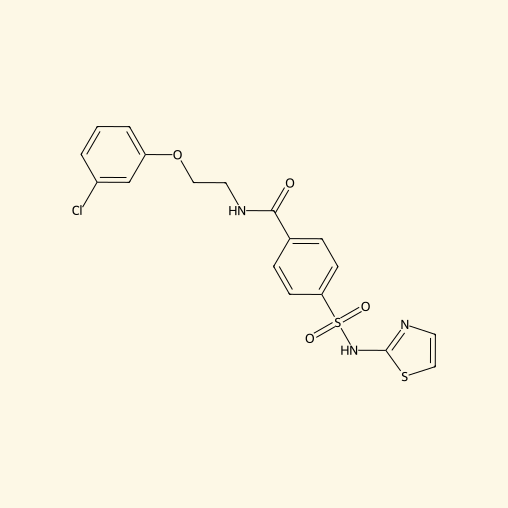 O=C(NCCOc1cccc(Cl)c1)c1ccc(S(=O)(=O)Nc2nccs2)cc1